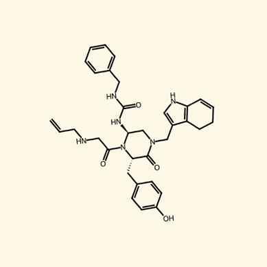 C=CCNCC(=O)N1[C@@H](NC(=O)NCc2ccccc2)CN(Cc2c[nH]c3c2CCC=C3)C(=O)[C@@H]1Cc1ccc(O)cc1